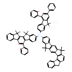 CCCCCCCC1(CCCCCCC)c2cc(N(c3ccc4c(c3)C(C)(C)c3cc5c(cc3-4)C(C)(C)c3ccc4c(c3-5)-c3ccccc3C4)c3ccc4c(c3)C(C)(C)c3c5c(c6oc7ccccc7c6c3-4)-c3ccccc3C5(C)C)ccc2-c2c1cc(-c1ccccc1)c1oc3ccccc3c21